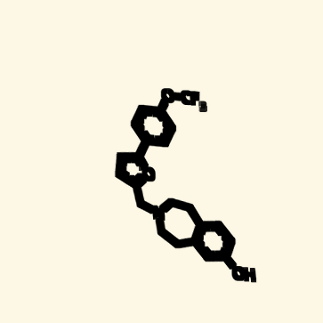 Oc1ccc2c(c1)CCN(Cc1ccc(-c3ccc(OC(F)(F)F)cc3)o1)CC2